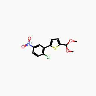 COC(OC)c1ccc(-c2cc([N+](=O)[O-])ccc2Cl)s1